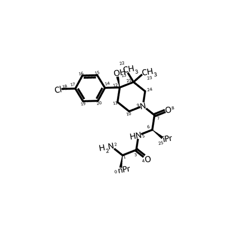 CCC[C@@H](N)C(=O)N[C@@H](C(=O)N1CC[C@](O)(c2ccc(Cl)cc2)C(C)(C)C1)C(C)C